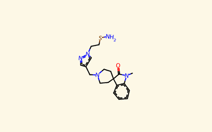 CN1C(=O)C2(CCN(Cc3cnn(CCSN)c3)CC2)c2ccccc21